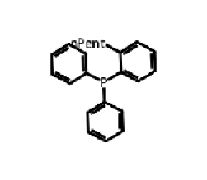 CCCCCc1ccccc1P(c1ccccc1)c1ccccc1